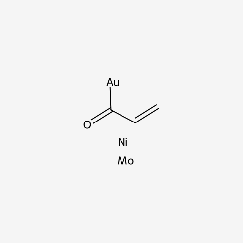 C=C[C](=O)[Au].[Mo].[Ni]